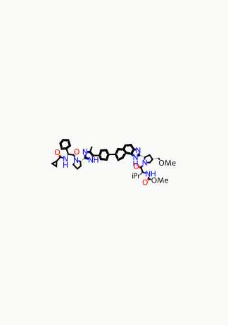 COC[C@H]1C[C@@H](c2nc3ccc4cc(-c5ccc(-c6[nH]c([C@@H]7CCCN7C(=O)[C@H](NC(=O)C7CC7)c7ccccc7)nc6C)cc5)ccc4c3[nH]2)N(C(=O)[C@@H](NC(=O)OC)C(C)C)C1